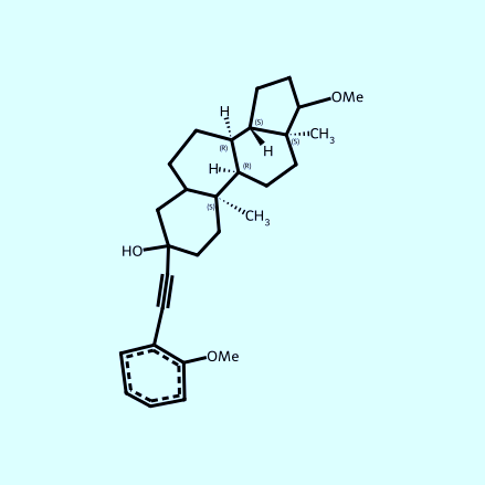 COc1ccccc1C#CC1(O)CC[C@@]2(C)C(CC[C@@H]3[C@H]2CC[C@]2(C)C(OC)CC[C@@H]32)C1